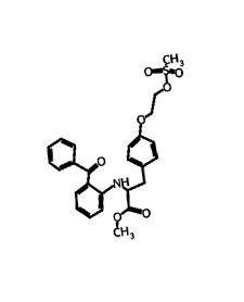 COC(=O)C(Cc1ccc(OCCOS(C)(=O)=O)cc1)Nc1ccccc1C(=O)c1ccccc1